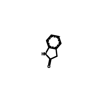 O=C1Cc2c[c]ccc2N1